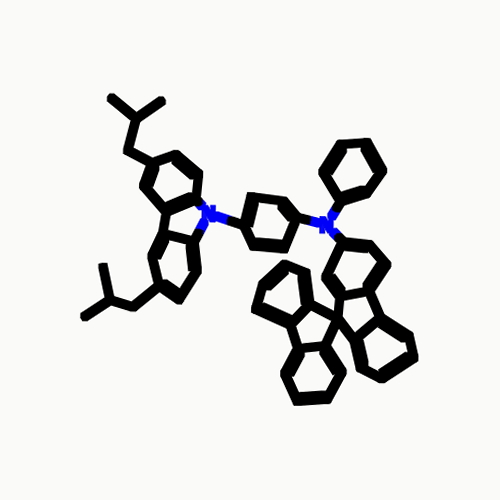 CC(C)Cc1ccc2c(c1)c1cc(CC(C)C)ccc1n2-c1ccc(N(c2ccccc2)c2ccc3c(c2)C2(c4ccccc4-c4ccccc42)c2ccccc2-3)cc1